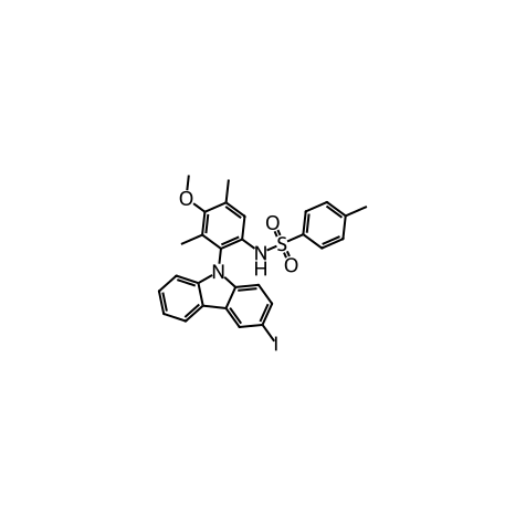 COc1c(C)cc(NS(=O)(=O)c2ccc(C)cc2)c(-n2c3ccccc3c3cc(I)ccc32)c1C